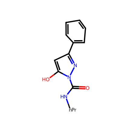 CCCNC(=O)n1nc(-c2ccccc2)cc1O